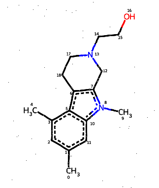 Cc1cc(C)c2c3c(n(C)c2c1)CN(CCO)CC3